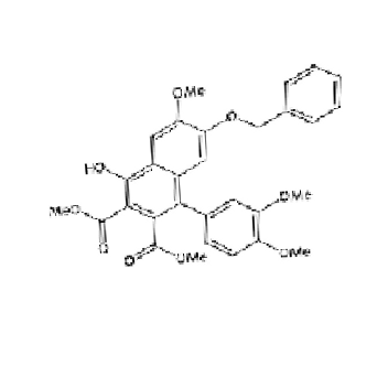 COC(=O)c1c(C(=O)OC)c(-c2ccc(OC)c(OC)c2)c2cc(OCc3ccccc3)c(OC)cc2c1O